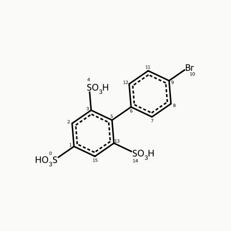 O=S(=O)(O)c1cc(S(=O)(=O)O)c(-c2ccc(Br)cc2)c(S(=O)(=O)O)c1